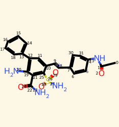 CC(=O)Nc1ccc(/C=C/c2cc(-c3ccccc3)c(N)c(C(N)=O)c2S(N)(=O)=O)cc1